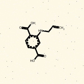 C=CCNc1cc(C(=O)O)ccc1C(=O)O